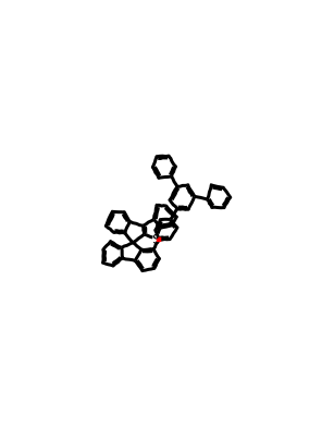 c1ccc(-c2cc(-c3ccccc3)cc(-c3ccc(-c4cccc5c4C4(c6ccccc6-5)c5ccccc5-c5c4sc4ccccc54)cc3)c2)cc1